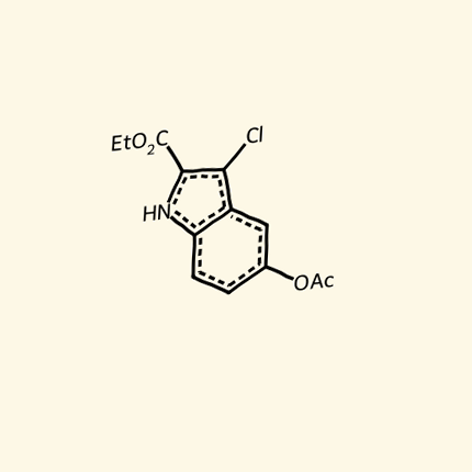 CCOC(=O)c1[nH]c2ccc(OC(C)=O)cc2c1Cl